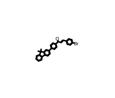 CC1(C)c2ccccc2-c2ccc(-c3ccc(C(=O)/C=C/c4ccc(Br)cc4)cc3)cc21